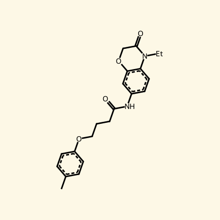 CCN1C(=O)COc2cc(NC(=O)CCCOc3ccc(C)cc3)ccc21